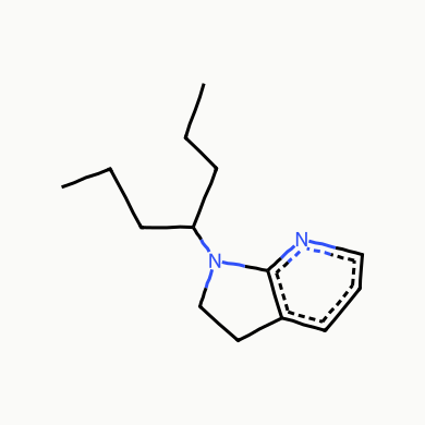 CCCC(CCC)N1CCc2cccnc21